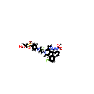 COC(=O)N[C@H]1CCC[C@@H]1[C@](CN1CCC1)(c1cccc(F)c1)C1CCN(CC2(F)CN(c3ccc(S(=O)(=O)CC(C)(C)O)cc3)C2)CC1